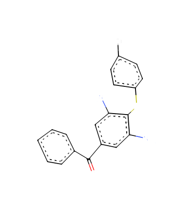 CCc1ccc(Sc2c(N)cc(C(=O)c3ccccc3)cc2N)cc1